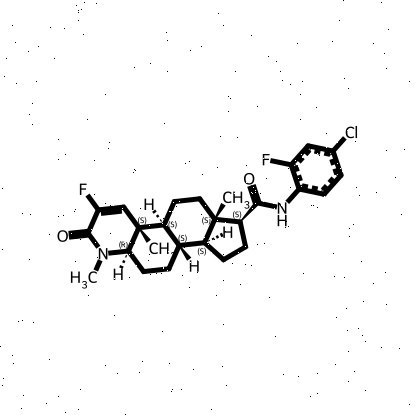 CN1C(=O)C(F)=C[C@]2(C)[C@H]3CC[C@]4(C)[C@@H](C(=O)Nc5ccc(Cl)cc5F)CC[C@H]4[C@@H]3CC[C@@H]12